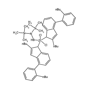 CCCCC1=Cc2c(-c3ccccc3CCCC)cccc2[CH]1[Zr]([Cl])([Cl])([BH]N([Si](C)(C)C)[Si](C)(C)C)[CH]1C(CCCC)=Cc2c(-c3ccccc3CCCC)cccc21